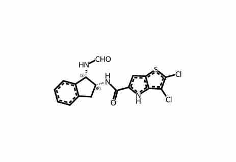 O=CN[C@H]1c2ccccc2C[C@H]1NC(=O)c1cc2sc(Cl)c(Cl)c2[nH]1